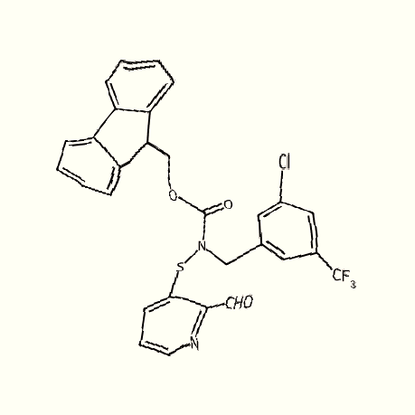 O=Cc1ncccc1SN(Cc1cc(Cl)cc(C(F)(F)F)c1)C(=O)OCC1c2ccccc2-c2ccccc21